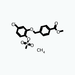 C.COC(=O)c1ccc(COc2cc(Cl)ccc2OS(C)(=O)=O)cc1